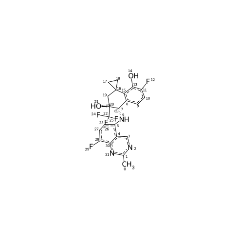 Cc1ncc2c(N[C@H]3c4ccc(F)c(O)c4C4(CC4)C[C@@]3(O)C(F)(F)F)ccc(F)c2n1